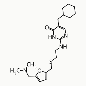 CN(C)Cc1ccc(CSCCNc2ncc(CC3CCCCC3)c(=O)[nH]2)o1